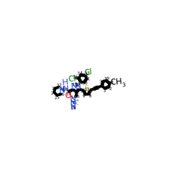 Cc1ccc(C#Cc2ccc(-c3c(CN=[N+]=[N-])c(C(=O)NN4CCCCC4)nn3-c3ccc(Cl)cc3Cl)s2)cc1